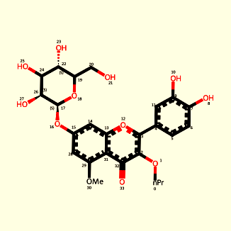 CCCOc1c(-c2ccc(O)c(O)c2)oc2cc(O[C@@H]3OC(CO)[C@@H](O)C(O)[C@@H]3O)cc(OC)c2c1=O